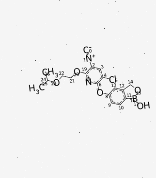 [C-]#[N+]c1cc(Cl)c(Oc2ccc3c(c2)COB3O)nc1OCCOC(C)C